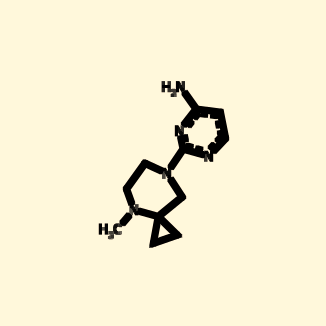 CN1CCN(c2nccc(N)n2)CC12CC2